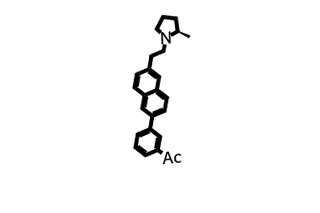 CC(=O)c1cccc(-c2ccc3cc(CCN4CCC[C@H]4C)ccc3c2)c1